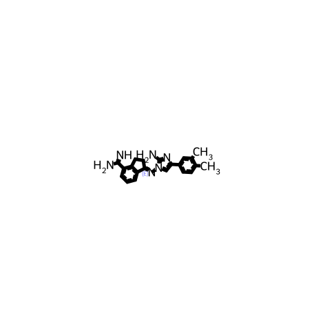 Cc1ccc(-c2cn(/N=C3\CCc4c(C(=N)N)cccc43)c(N)n2)cc1C